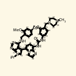 COc1ccc(CNc2ncnc3c2c(-c2ccc(NC(=O)Nc4ccc(CN5CCN(C)CC5)c(C(F)(F)F)c4)c4nccn24)cn3C(C)C)c(OC)c1